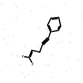 FC(F)=CCC#Cc1ccccc1